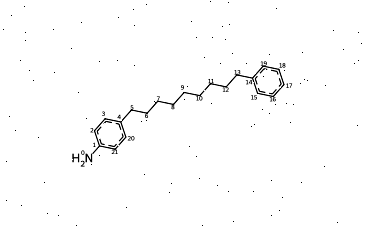 Nc1ccc(CCCCCCCCCc2ccccc2)cc1